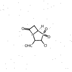 O=CC1C(Cl)S(=O)(=O)[C@@H]2CC(=O)N12